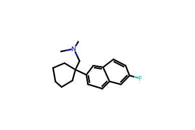 CN(C)CC1(c2ccc3cc(F)ccc3c2)CCCCC1